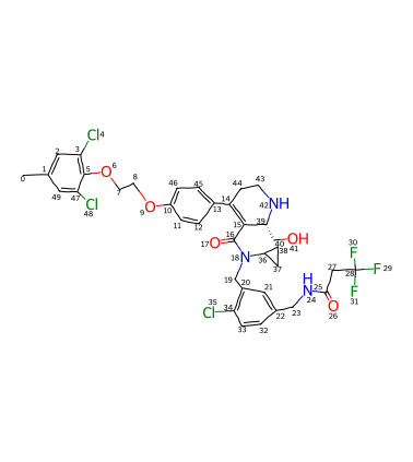 Cc1cc(Cl)c(OCCOc2ccc(C3=C(C(=O)N(Cc4cc(CNC(=O)CC(F)(F)F)ccc4Cl)C4CC4)[C@@H](CO)NCC3)cc2)c(Cl)c1